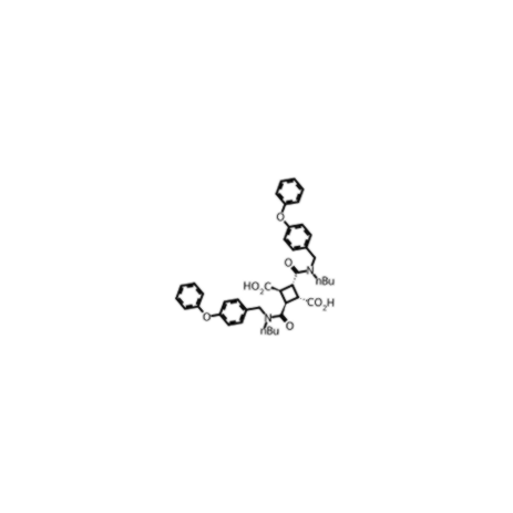 CCCCN(Cc1ccc(Oc2ccccc2)cc1)C(=O)[C@H]1[C@H](C(=O)O)[C@H](C(=O)N(CCCC)Cc2ccc(Oc3ccccc3)cc2)[C@H]1C(=O)O